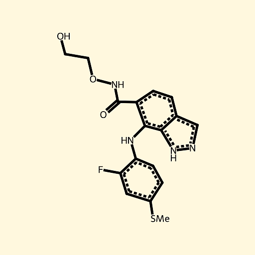 CSc1ccc(Nc2c(C(=O)NOCCO)ccc3cn[nH]c23)c(F)c1